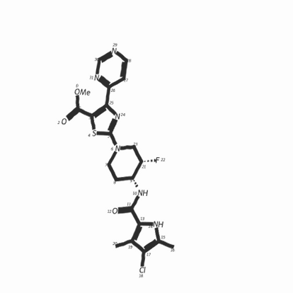 COC(=O)c1sc(N2CC[C@@H](NC(=O)c3[nH]c(C)c(Cl)c3C)[C@@H](F)C2)nc1-c1ccncn1